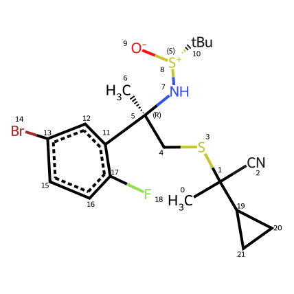 CC(C#N)(SC[C@](C)(N[S@+]([O-])C(C)(C)C)c1cc(Br)ccc1F)C1CC1